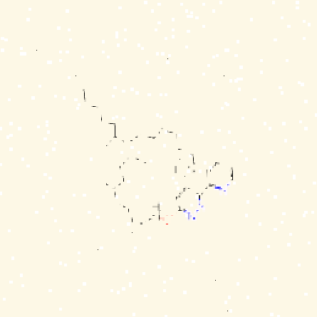 CCCCCC(C)CCCC(C)CCC[SiH2]c1cccnc1-c1ccc(O[SiH2]CC(C)CCC(C)CCCC)nn1